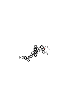 Cc1cc(C(F)(F)F)c2cccc(OCc3c(Cl)ccc(S(=O)(=O)N4CCC[C@H]4C(=O)N4CCN(C(=O)c5ccc(C#N)cc5)CC4)c3Cl)c2n1